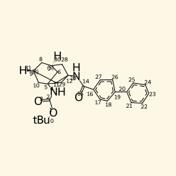 CC(C)(C)OC(=O)NC12C[C@H]3C[C@@H](C1)CC(NC(=O)c1ccc(-c4ccccc4)cc1)(C3)C2